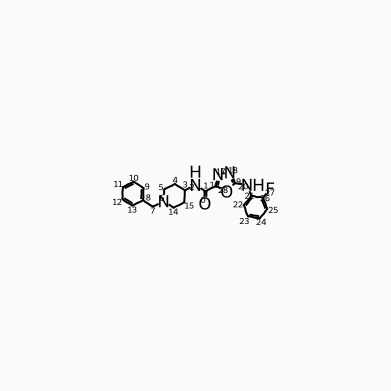 O=C(NC1CCN(Cc2ccccc2)CC1)c1nnc(Nc2ccccc2F)o1